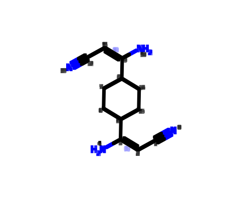 N#C/C=C(/N)C1CCC(/C(N)=C\C#N)CC1